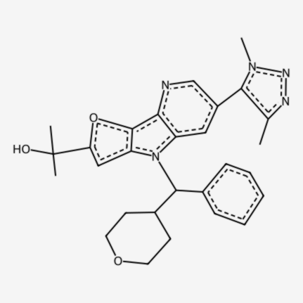 Cc1nnn(C)c1-c1cnc2c3oc(C(C)(C)O)cc3n(C(c3ccccc3)C3CCOCC3)c2c1